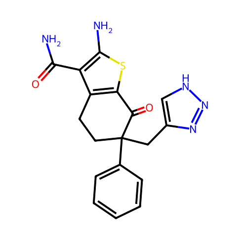 NC(=O)c1c(N)sc2c1CCC(Cc1c[nH]nn1)(c1ccccc1)C2=O